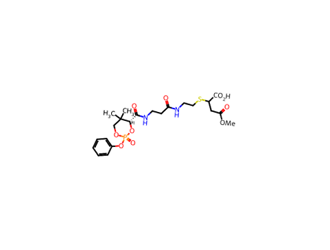 COC(=O)CC(SCCNC(=O)CCNC(=O)[C@@H]1OP(=O)(Oc2ccccc2)OCC1(C)C)C(=O)O